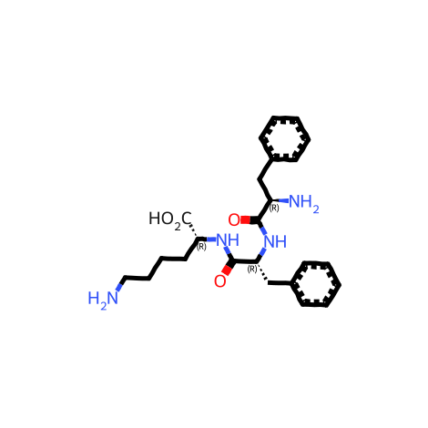 NCCCC[C@@H](NC(=O)[C@@H](Cc1ccccc1)NC(=O)[C@H](N)Cc1ccccc1)C(=O)O